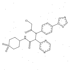 O=C(NC1CCS(=O)(=O)CC1)C(c1cnccn1)N(C(=O)CCl)c1ccc(-c2cnco2)cc1